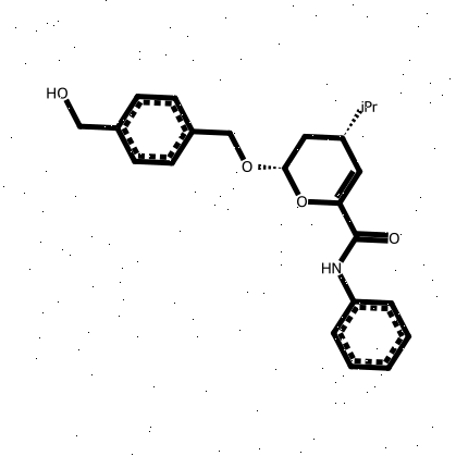 CC(C)[C@@H]1C=C(C(=O)Nc2ccccc2)O[C@H](OCc2ccc(CO)cc2)C1